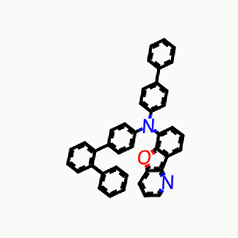 c1ccc(-c2ccc(N(c3ccc(-c4ccccc4-c4ccccc4)cc3)c3cccc4c3oc3cccnc34)cc2)cc1